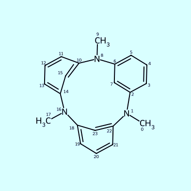 CN1c2cccc(c2)N(C)c2cccc(c2)N(C)c2cccc1c2